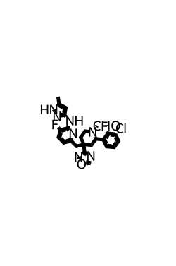 Cc1cc(Nc2nc(CC3(c4ncon4)CCN(C=O)C(c4cccc(Cl)c4F)C3)ccc2F)n[nH]1